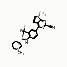 CN1CCC[C@H](CNc2ccc(-c3nc(C#N)nc4c3ccn4C)cc2C(F)(F)F)C1